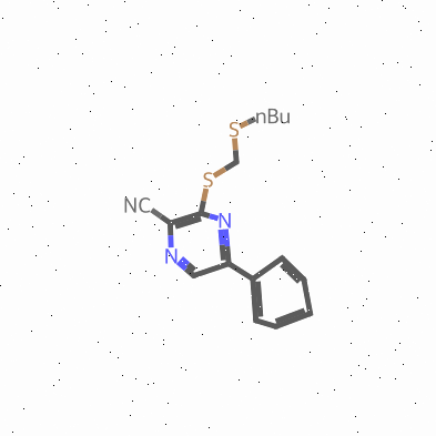 CCCCSCSc1nc(-c2ccccc2)cnc1C#N